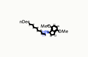 CCCCCCCCCCCCCCCC/C=C\NC1CCc2c(OC)ccc(OC)c21